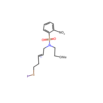 COCCN(C/C=C/CCSI)S(=O)(=O)c1ccccc1[N+](=O)[O-]